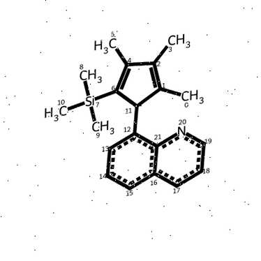 CC1=C(C)C(C)=C([Si](C)(C)C)[C]1c1cccc2cccnc12